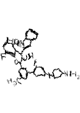 Cc1cc(C(=O)NC(c2cc3ccccc3[nH]2)c2cc(F)ccc2O)cc(-c2ccc(N3CCC(N)CC3)cc2F)c1